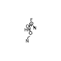 N#CCC[C@H]1CC[C@@H](NCC(=O)N2C[C@@H](F)C[C@H]2C#N)C1